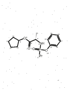 CC(C)P(=O)(N[C@@H](C)C(=O)OC1CCCC1)Oc1ccccc1